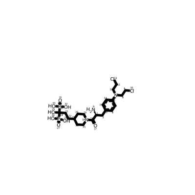 N[C@@H](Cc1ccc(N(CCCl)CCCl)cc1)C(=O)N1CCC(CCC(O)(P(=O)(O)O)P(=O)(O)O)CC1